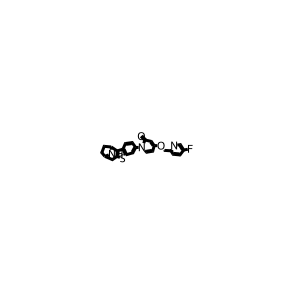 O=c1cc(OCc2ccc(F)cn2)ccn1-c1ccc2c3c(sc2c1)CC1CCC3N1